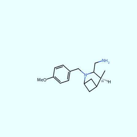 COc1ccc(CN2C3CC(C3)[C@H](C)C2CN)cc1